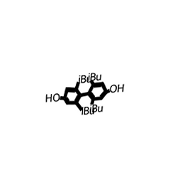 CCC(C)c1cc(O)cc(C(C)CC)c1-c1c(C(C)CC)cc(O)cc1C(C)CC